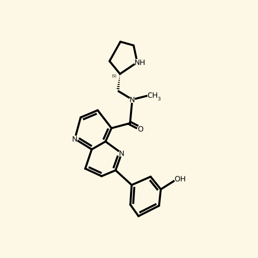 CN(C[C@@H]1CCCN1)C(=O)c1ccnc2ccc(-c3cccc(O)c3)nc12